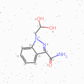 NC(=O)c1nn(CC(O)O)c2ccccc12